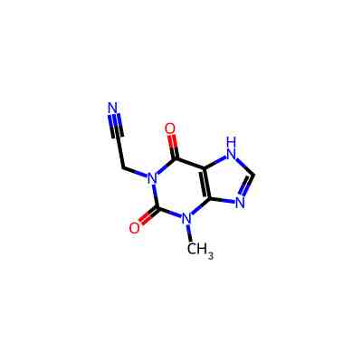 Cn1c(=O)n(CC#N)c(=O)c2[nH]cnc21